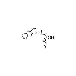 C=CCOC(O)CCOc1ccc2cc3ccccc3cc2c1